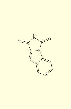 O=C1NC(=S)c2cc3ccccc3n21